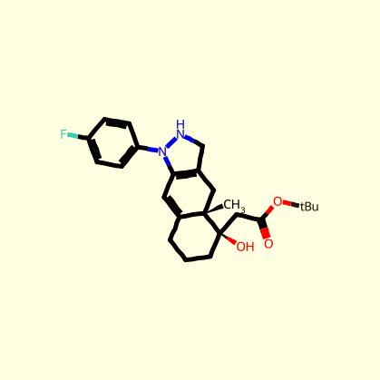 CC(C)(C)OC(=O)C[C@]1(O)CCCC2=CC3=C(CNN3c3ccc(F)cc3)C[C@@]21C